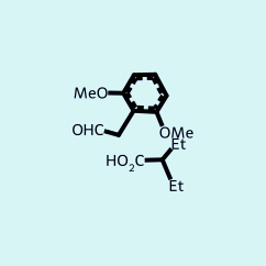 CCC(CC)C(=O)O.COc1cccc(OC)c1CC=O